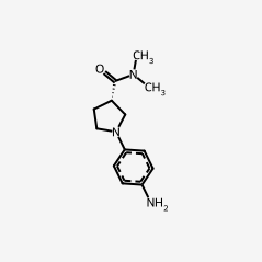 CN(C)C(=O)[C@H]1CCN(c2ccc(N)cc2)C1